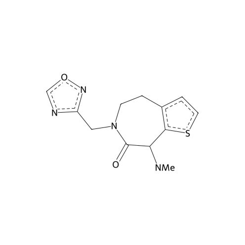 CNC1C(=O)N(Cc2ncon2)CCc2ccsc21